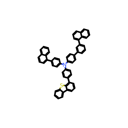 c1cc(-c2ccc(N(c3ccc(-c4cccc5ccccc45)cc3)c3ccc(-c4cccc5c4sc4ccccc45)cc3)cc2)cc(-c2cccc3ccccc23)c1